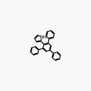 c1ccc(-c2cc(-c3ccccc3)c(-c3ccc[nH]3)c(-c3ccccc3)c2)cc1